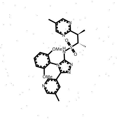 COc1cccc(OC)c1-n1c(NS(=O)(=O)[C@@H](C)[C@H](C)c2ncc(C)cn2)nnc1-c1cncc(C)c1